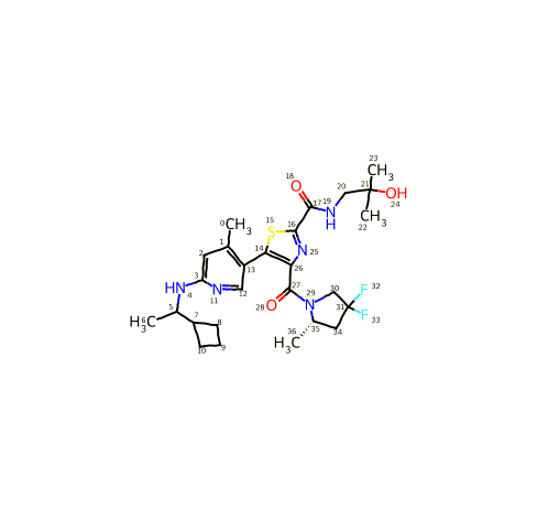 Cc1cc(NC(C)C2CCC2)ncc1-c1sc(C(=O)NCC(C)(C)O)nc1C(=O)N1CC(F)(F)C[C@@H]1C